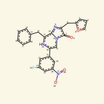 O=c1c(Cc2ccco2)nc2c(Cc3ccccc3)[nH]c(-c3cc(F)cc([N+](=O)[O-])c3)cn1-2